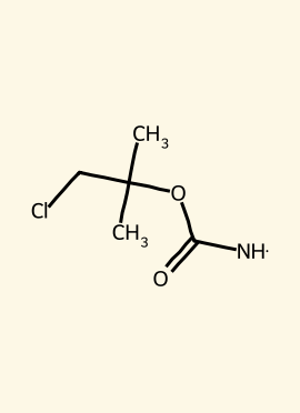 CC(C)(CCl)OC([NH])=O